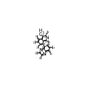 Cc1c(I)nc(I)c2c(-c3c(I)c(I)c(I)c4nc(I)c(I)nc34)c(I)c(I)c(I)c12